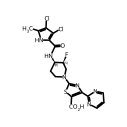 Cc1[nH]c(C(=O)N[C@@H]2CCN(c3nc(-c4ncccn4)c(C(=O)O)s3)C[C@@H]2F)c(Cl)c1Cl